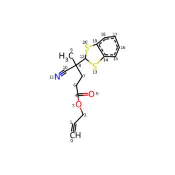 C#CCOC(=O)CCC(C)(C#N)C1Sc2ccccc2S1